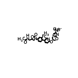 CC(=O)NCC1CN(c2ccc(-c3ccc(OC4COc5nc([N+](=O)[O-])cn5C4)nc3C)c(F)c2)C(=O)O1